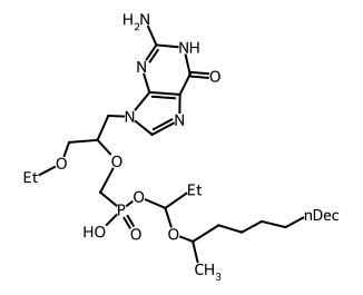 CCCCCCCCCCCCCCC(C)OC(CC)OP(=O)(O)COC(COCC)Cn1cnc2c(=O)[nH]c(N)nc21